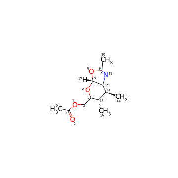 CC(=O)OCC1O[C@@H]2OC(C)=NC2[C@@H](C)[C@@H]1C